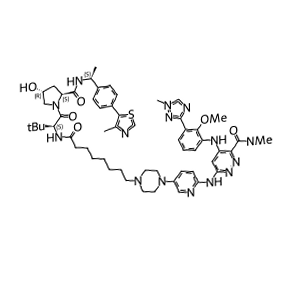 CNC(=O)c1nnc(Nc2ccc(N3CCN(CCCCCCCC(=O)N[C@H](C(=O)N4C[C@H](O)C[C@H]4C(=O)N[C@@H](C)c4ccc(-c5scnc5C)cc4)C(C)(C)C)CC3)cn2)cc1Nc1cccc(-c2ncn(C)n2)c1OC